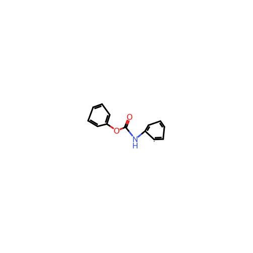 O=C(Nc1[c]cccc1)Oc1ccccc1